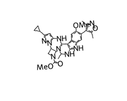 COC(=O)N1CC(n2nc(C3CC3)cc2NC2=NC(C)Nc3[nH]c4cc(-c5c(C)noc5C)c(OC)cc4c32)C1